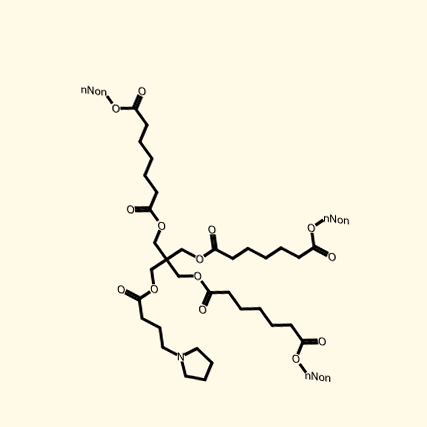 CCCCCCCCCOC(=O)CCCCCC(=O)OCC(COC(=O)CCCCCC(=O)OCCCCCCCCC)(COC(=O)CCCCCC(=O)OCCCCCCCCC)COC(=O)CCCN1CCCC1